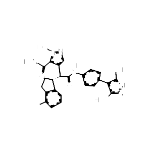 Cc1n[nH]c(C)c1-c1ccc(NC(=O)C(c2cnn(C)c2C(N)=O)[C@@H]2CCc3c(F)cccc32)cc1